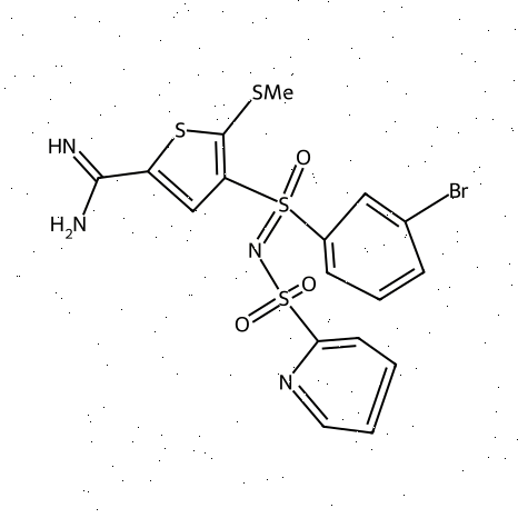 CSc1sc(C(=N)N)cc1S(=O)(=NS(=O)(=O)c1ccccn1)c1cccc(Br)c1